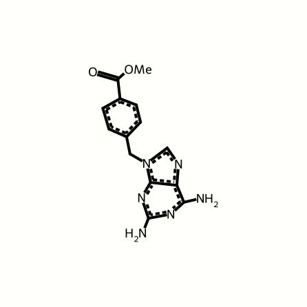 COC(=O)c1ccc(Cn2cnc3c(N)nc(N)nc32)cc1